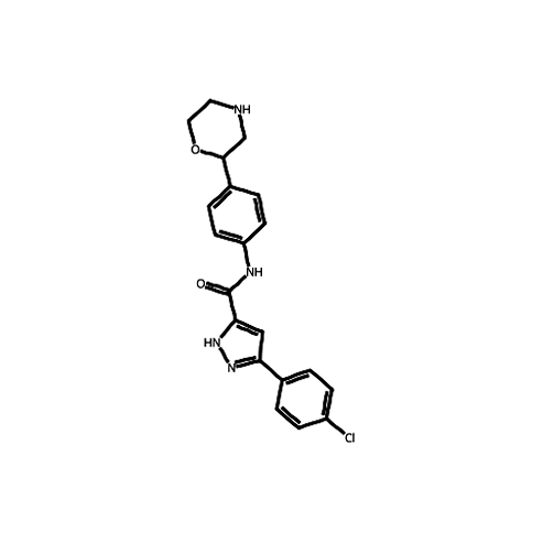 O=C(Nc1ccc(C2CNCCO2)cc1)c1cc(-c2ccc(Cl)cc2)n[nH]1